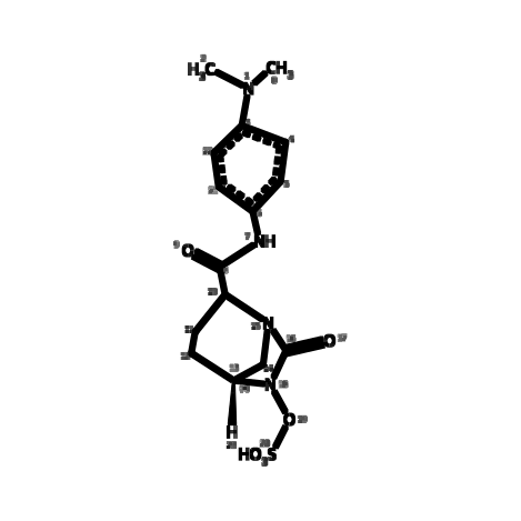 CN(C)c1ccc(NC(=O)C2CC[C@@H]3CN2C(=O)N3OS(=O)(=O)O)cc1